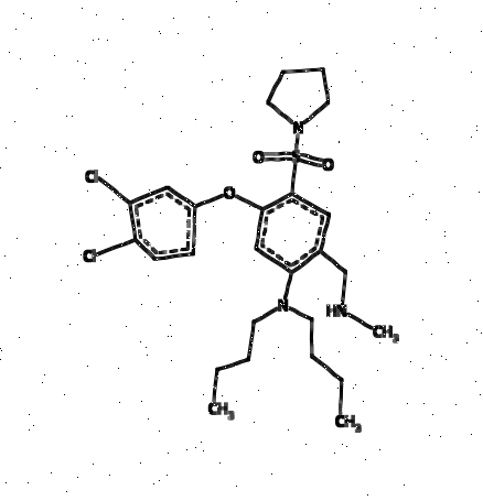 CCCCN(CCCC)c1cc(Oc2ccc(Cl)c(Cl)c2)c(S(=O)(=O)N2CCCC2)cc1CNC